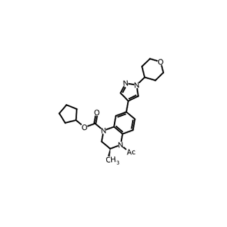 CC(=O)N1c2ccc(-c3cnn(C4CCOCC4)c3)cc2N(C(=O)OC2CCCC2)C[C@@H]1C